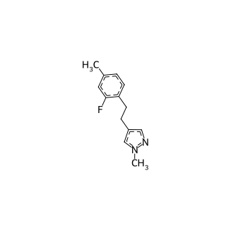 Cc1ccc(CCc2cnn(C)c2)c(F)c1